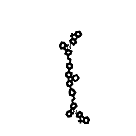 CC1(C)c2ccccc2-c2ccc(-n3c4ccccc4c4cc(/C=C/c5ccc(-c6ccc7c(c6)C6(CCCCC6)c6cc(-c8ccc(/C=C/c9ccc%10c(c9)c9ccccc9n%10-c9ccc%10c(c9)C(C)(C)c9ccccc9-%10)cc8)ccc6-7)cc5)ccc43)cc21